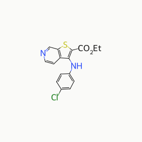 CCOC(=O)c1sc2cnccc2c1Nc1ccc(Cl)cc1